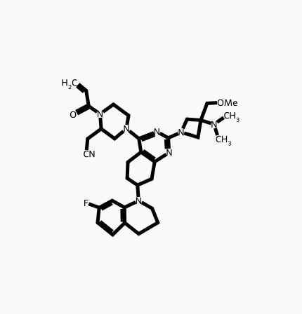 C=CC(=O)N1CCN(c2nc(N3CC(COC)(N(C)C)C3)nc3c2CCC(N2CCCc4ccc(F)cc42)C3)CC1CC#N